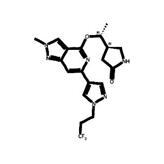 C[C@@H](Oc1nc(-c2cnn(CCC(F)(F)F)c2)cc2nn(C)cc12)[C@H]1CNC(=O)C1